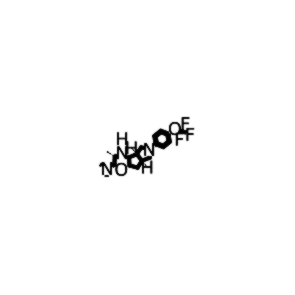 C[C@H](N[C@H]1CC[C@@H]2CN(c3ccc(OC(F)(F)F)cc3)C[C@@H]21)C(=O)N(C)C